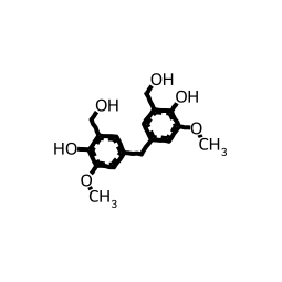 COc1cc(Cc2cc(CO)c(O)c(OC)c2)cc(CO)c1O